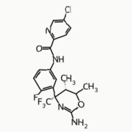 CC1OC(N)=N[C@](c2cc(NC(=O)c3ccc(Cl)cn3)ccc2F)(C(F)(F)F)[C@@H]1C